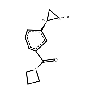 C[C@H]1C[C@@H]1c1cccc(C(=O)N2CCC2)c1